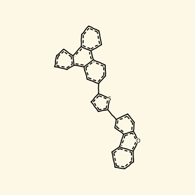 c1ccc2c(c1)oc1ccc(-c3ccc(-c4ccc5c6ccccc6c6ccccc6c5c4)s3)cc12